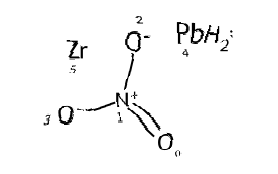 O=[N+]([O-])[O-].[PbH2].[Zr]